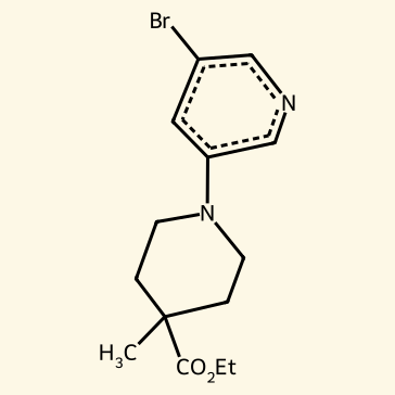 CCOC(=O)C1(C)CCN(c2cncc(Br)c2)CC1